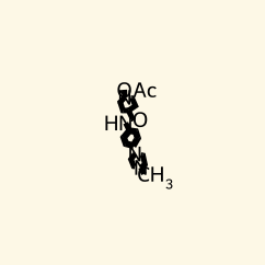 CC(=O)ON1CCC(C(=O)Nc2ccc(N3CCN(C)CC3)cc2)CC1